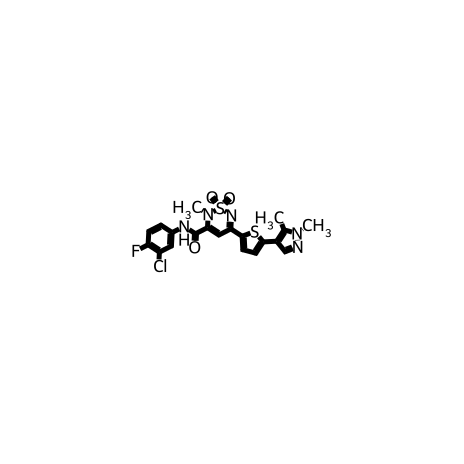 Cc1c(-c2ccc(C3=NS(=O)(=O)N(C)C(C(=O)Nc4ccc(F)c(Cl)c4)=C3)s2)cnn1C